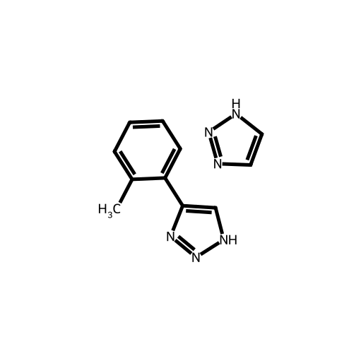 Cc1ccccc1-c1c[nH]nn1.c1c[nH]nn1